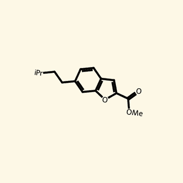 COC(=O)c1cc2ccc(CCC(C)C)cc2o1